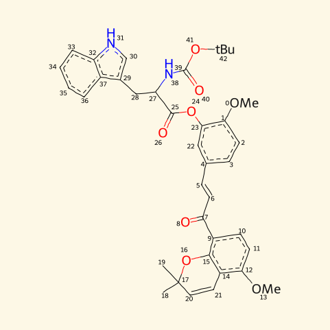 COc1ccc(C=CC(=O)c2ccc(OC)c3c2OC(C)(C)C=C3)cc1OC(=O)C(Cc1c[nH]c2ccccc12)NC(=O)OC(C)(C)C